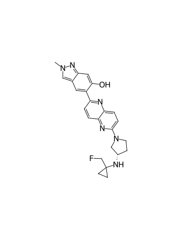 Cn1cc2cc(-c3ccc4nc(N5CC[C@H](NC6(CF)CC6)C5)ccc4n3)c(O)cc2n1